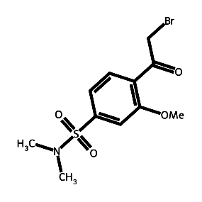 COc1cc(S(=O)(=O)N(C)C)ccc1C(=O)CBr